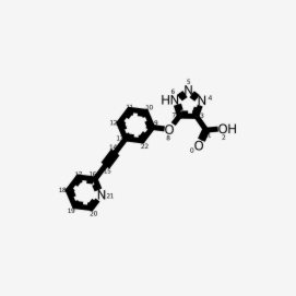 O=C(O)c1nn[nH]c1Oc1cccc(C#Cc2ccccn2)c1